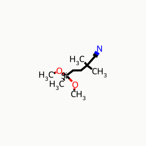 CO[Si](C)(CCC(C)(C)C#N)OC